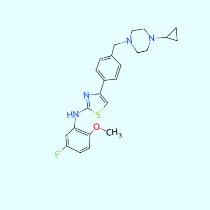 COc1ccc(F)cc1Nc1nc(-c2ccc(CN3CCN(C4CC4)CC3)cc2)cs1